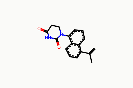 C=C(C)c1cccc2c(N3CCC(=O)NC3=O)cccc12